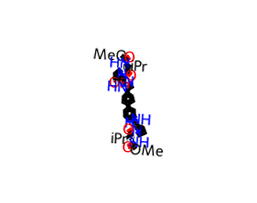 COC(=O)N[C@H](C(=O)N1CC[C@H](O)[C@H]1c1ncc(-c2ccc(-c3ccc4nc([C@@H]5CCCN5C(=O)[C@@H](NC(=O)OC)C(C)C)[nH]c4c3)cc2)[nH]1)C(C)C